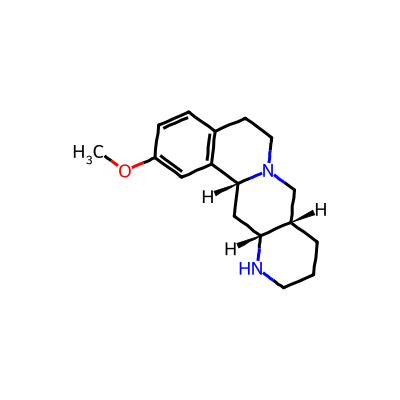 COc1ccc2c(c1)[C@H]1C[C@H]3NCCC[C@H]3CN1CC2